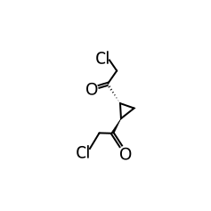 O=C(CCl)[C@@H]1C[C@H]1C(=O)CCl